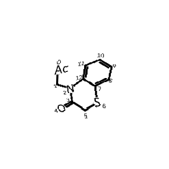 CC(=O)CN1C(=O)CSc2ccccc21